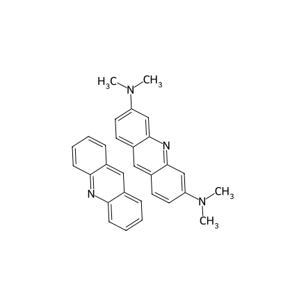 CN(C)c1ccc2cc3ccc(N(C)C)cc3nc2c1.c1ccc2nc3ccccc3cc2c1